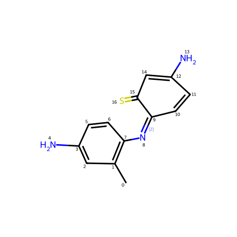 Cc1cc(N)ccc1/N=C1/C=CC(N)=CC1=S